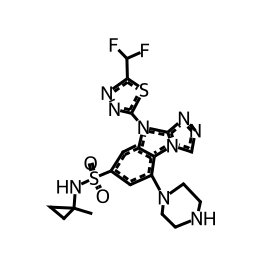 CC1(NS(=O)(=O)c2cc(N3CCNCC3)c3c(c2)n(-c2nnc(C(F)F)s2)c2nncn32)CC1